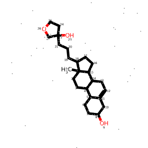 CC12CCC3C4CCC(O)CC4=CCC3C1CCC2CCCC1(O)CCOC1